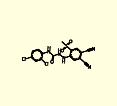 CS(=O)(=O)c1cc(C#N)c(C#N)cc1NNC(=O)Nc1ccc(Cl)cc1Cl